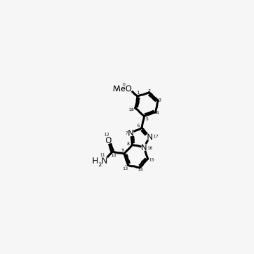 COc1cccc(-c2nc3c(C(N)=O)[c]ccn3n2)c1